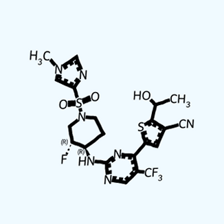 CC(O)c1sc(-c2nc(N[C@@H]3CCN(S(=O)(=O)c4cn(C)cn4)C[C@H]3F)ncc2C(F)(F)F)cc1C#N